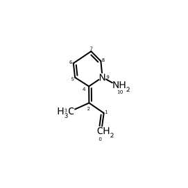 C=C/C(C)=C1/C=CC=CN1N